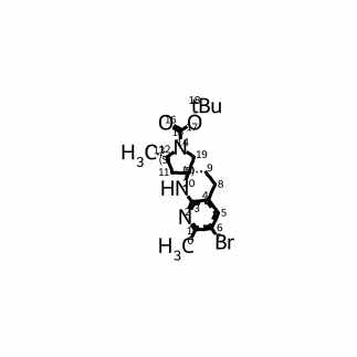 Cc1nc2c(cc1Br)CC[C@@]1(C[C@H](C)N(C(=O)OC(C)(C)C)C1)N2